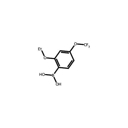 CCOc1cc(OC(F)(F)F)ccc1B(O)O